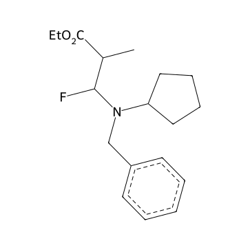 CCOC(=O)C(C)C(F)N(Cc1ccccc1)C1CCCC1